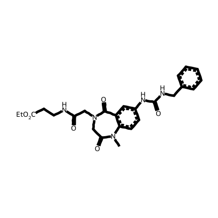 CCOC(=O)CCNC(=O)CN1CC(=O)N(C)c2ccc(NC(=O)NCc3ccccc3)cc2C1=O